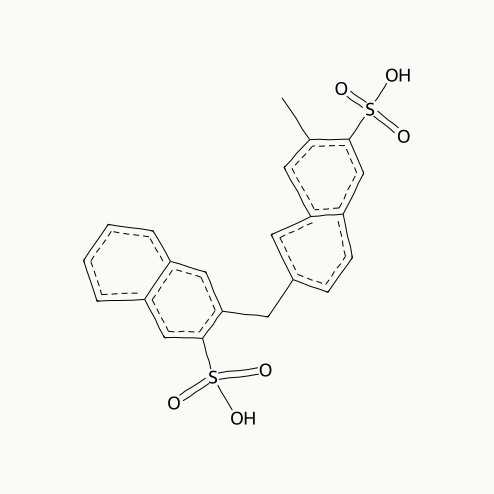 Cc1cc2cc(Cc3cc4ccccc4cc3S(=O)(=O)O)ccc2cc1S(=O)(=O)O